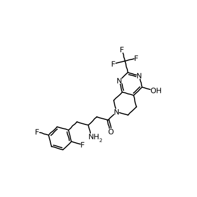 NC(CC(=O)N1CCc2c(O)nc(C(F)(F)F)nc2C1)Cc1cc(F)ccc1F